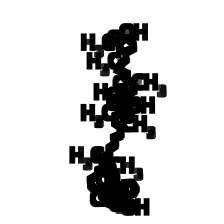 CO[C@@H](C[C@@H]1CC[C@@H](C)[C@](O)(C(=O)C(=O)N2CCCC[C@H]2C(=O)O)O1)/C(C)=C/C=C/C=C/[C@@H](C)C[C@@H](C)C(=O)[C@H](OC)[C@H](O)/C(C)=C/[C@@H](C)C(=O)CC[C@H](C)C[C@@H]1CC[C@@H](O)[C@H](OC)C1